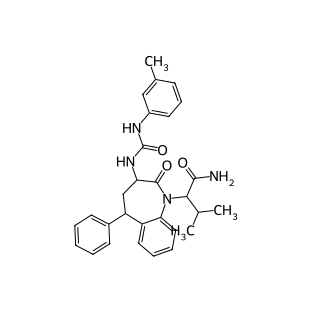 Cc1cccc(NC(=O)NC2CC(c3ccccc3)c3ccccc3N(C(C(N)=O)C(C)C)C2=O)c1